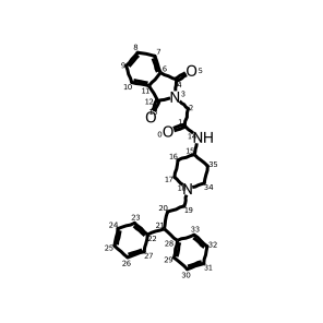 O=C(CN1C(=O)c2ccccc2C1=O)NC1CCN(CCC(c2ccccc2)c2ccccc2)CC1